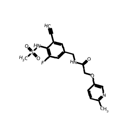 C#Cc1cc(CNC(=O)COc2ccc(C)nc2)cc(F)c1NS(C)(=O)=O